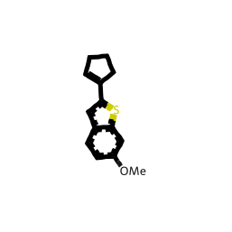 COc1ccc2cc(C3=CCCC3)sc2c1